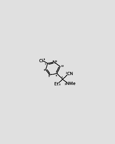 CCC(C#N)(NC)c1ccc(Cl)nc1